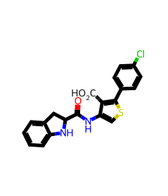 O=C(O)c1c(NC(=O)C2Cc3ccccc3N2)csc1-c1ccc(Cl)cc1